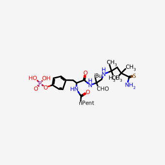 CCCCCC(=O)NC(Cc1ccc(OP(=O)(O)O)cc1)C(=O)NC(C=O)(CNC(C)(C)CC(C)(C)C(N)=S)C(C)CC